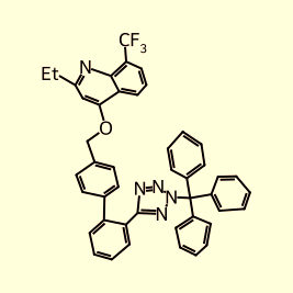 CCc1cc(OCc2ccc(-c3ccccc3-c3nnn(C(c4ccccc4)(c4ccccc4)c4ccccc4)n3)cc2)c2cccc(C(F)(F)F)c2n1